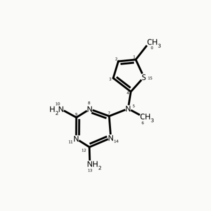 Cc1ccc(N(C)c2nc(N)nc(N)n2)s1